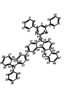 c1ccc(-c2cc(-c3ccccc3)nc(-n3c4ccc(-c5ccc6c(c5)c5ccccc5n6-c5ccccc5)cc4c4c5oc6ccccc6c5ccc43)n2)cc1